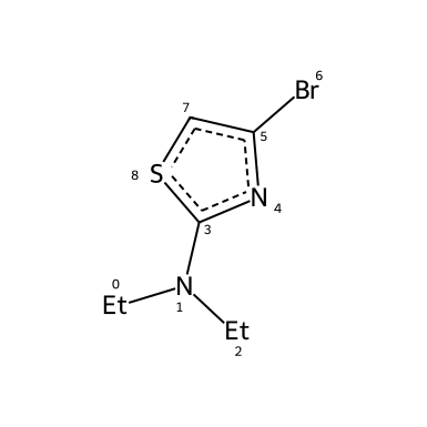 CCN(CC)c1nc(Br)cs1